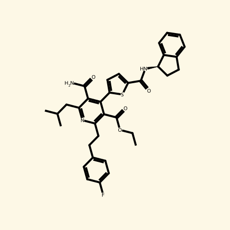 CCOC(=O)c1c(CCc2ccc(F)cc2)nc(CC(C)C)c(C(N)=O)c1-c1ccc(C(=O)N[C@@H]2CCc3ccccc32)s1